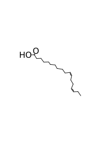 CC/C=C\CC/C=C\CCCCCCCCCC(=O)O